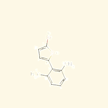 Cc1cccc(C)c1-c1ccc(Br)s1